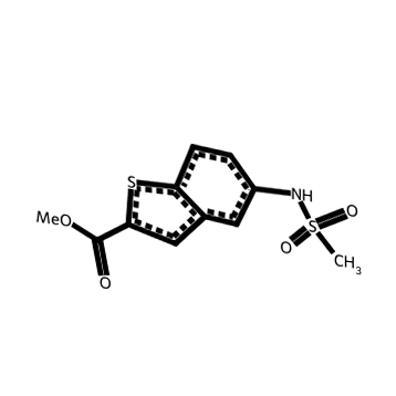 COC(=O)c1cc2cc(NS(C)(=O)=O)ccc2s1